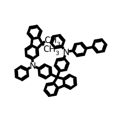 CC1(C)c2ccccc2-c2ccc(N(c3ccccc3)c3ccc(C4(c5ccc(N(c6ccccc6)c6ccc(-c7ccccc7)cc6)cc5)c5ccccc5-c5ccccc54)cc3)cc21